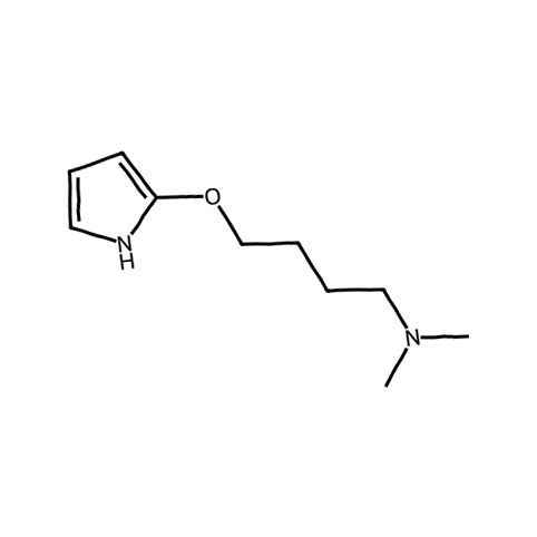 CN(C)CCCCOc1ccc[nH]1